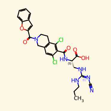 CCCN/C(=N\C#N)NC[C@H](NC(=O)c1c(Cl)cc2c(c1Cl)CCN(C(=O)c1cc3ccccc3o1)C2)C(=O)O